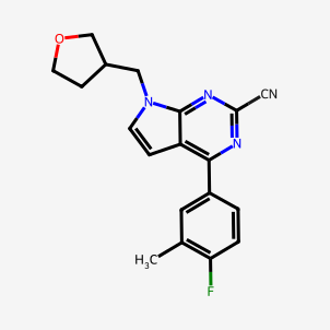 Cc1cc(-c2nc(C#N)nc3c2ccn3CC2CCOC2)ccc1F